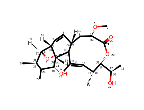 CO[C@H]1C[C@H]2C=C[C@H]3[C@H]4O[C@]2(/C(C)=C/[C@@H](C)[C@@H]([C@@H](C)O)OC1=O)[C@@H]3[C@H](O)C(C)[C@H]4C